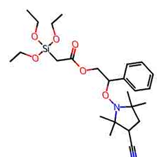 CCO[Si](CC(=O)OCC(ON1C(C)(C)CC(C#N)C1(C)C)c1ccccc1)(OCC)OCC